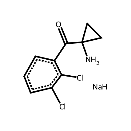 NC1(C(=O)c2cccc(Cl)c2Cl)CC1.[NaH]